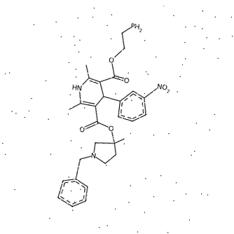 CC1=C(C(=O)OCCP)C(c2cccc([N+](=O)[O-])c2)C(C(=O)OC2(C)CCN(Cc3ccccc3)C2)=C(C)N1